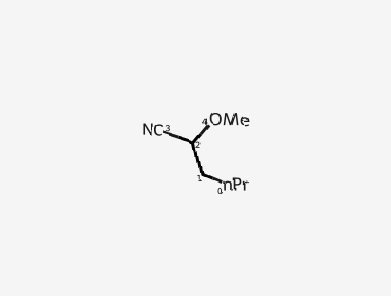 CCCCC(C#N)OC